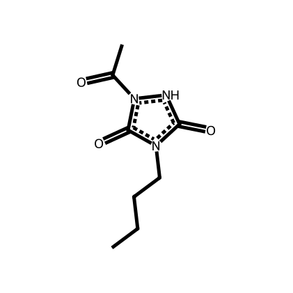 CCCCn1c(=O)[nH]n(C(C)=O)c1=O